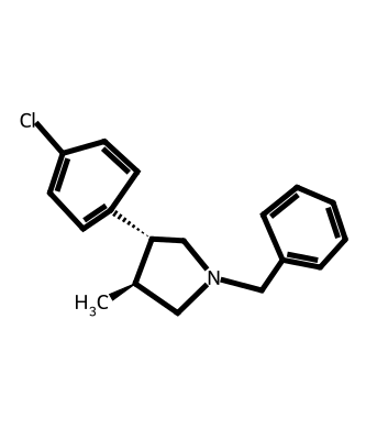 C[C@@H]1CN(Cc2ccccc2)C[C@H]1c1ccc(Cl)cc1